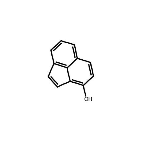 Oc1ccc2cccc3c2c1C=C3